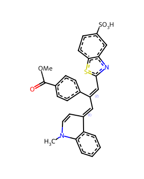 COC(=O)c1ccc(C(=C\c2nc3cc(S(=O)(=O)O)ccc3s2)/C=C2\C=CN(C)c3ccccc32)cc1